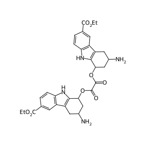 CCOC(=O)c1ccc2[nH]c3c(c2c1)CC(N)CC3OC(=O)C(=O)OC1CC(N)Cc2c1[nH]c1ccc(C(=O)OCC)cc21